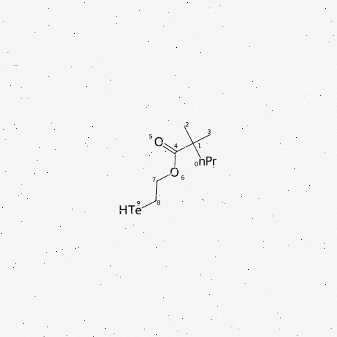 CCCC(C)(C)C(=O)OCC[TeH]